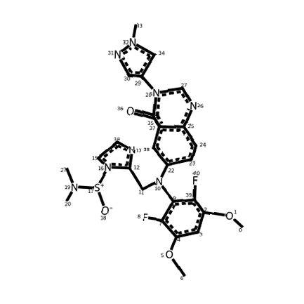 COc1cc(OC)c(F)c(N(Cc2nccn2[S+]([O-])N(C)C)c2ccc3ncn(-c4cnn(C)c4)c(=O)c3c2)c1F